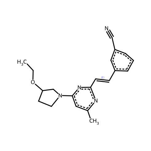 CCOC1CCN(c2cc(C)nc(/C=C/c3cccc(C#N)c3)n2)C1